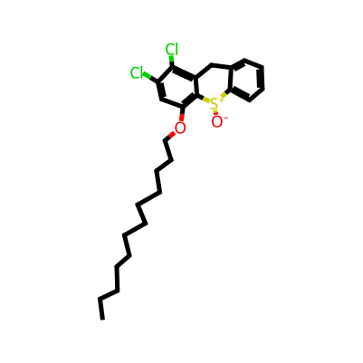 CCCCCCCCCCCCOc1cc(Cl)c(Cl)c2c1[S+]([O-])c1ccccc1C2